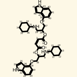 O=C(/C=C\C(=O)OC(CNC1CCCCC1)COc1cccc2[nH]ccc12)OC(CNC1CCCCC1)COc1cccc2[nH]ccc12